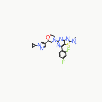 CN(C)c1nc2nc(N3CCO[C@H](c4cnn(C5CC5)c4)C3)nc(-c3ccc(F)cc3F)c2s1